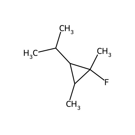 CC(C)C1C(C)C1(C)F